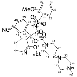 CCOc1ncccc1C1(OC(=O)N2CCC(N3CCN(C)CC3)CC2)C(=O)N(S(=O)(=O)c2ccccc2OC)c2ccc(C#N)cc21